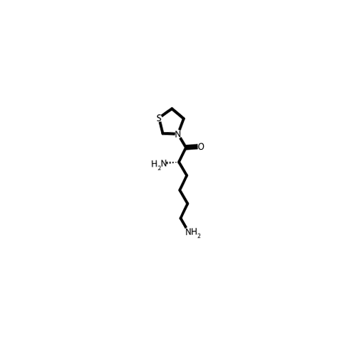 NCCCC[C@H](N)C(=O)N1CCSC1